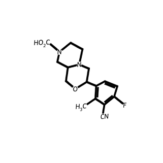 Cc1c(C2CN3CCN(C(=O)O)CC3CO2)ccc(F)c1C#N